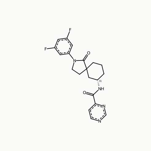 O=C(N[C@H]1CCCC2(CCN(c3cc(F)cc(F)c3)C2=O)C1)c1ccncn1